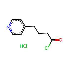 Cl.O=C(Cl)CCCc1ccncc1